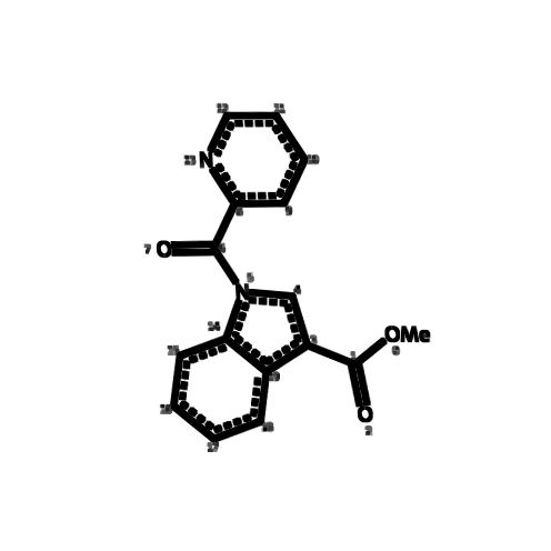 COC(=O)c1cn(C(=O)c2ccccn2)c2ccccc12